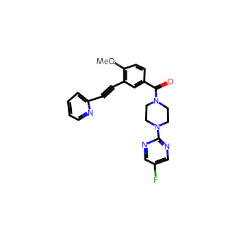 COc1ccc(C(=O)N2CCN(c3ncc(F)cn3)CC2)cc1C#Cc1ccccn1